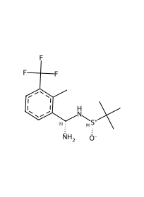 Cc1c([C@@H](N)N[S@@+]([O-])C(C)(C)C)cccc1C(F)(F)F